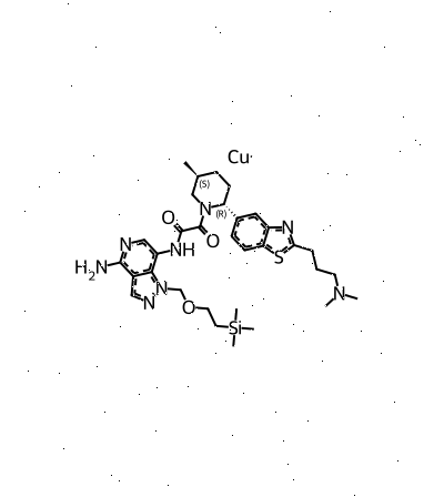 C[C@H]1CC[C@H](c2ccc3sc(CCCN(C)C)nc3c2)N(C(=O)C(=O)Nc2cnc(N)c3cnn(COCC[Si](C)(C)C)c23)C1.[Cu]